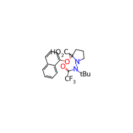 CC(C)(C)N(C(=O)C(F)(F)F)N1CCC[C@]1(Oc1cccc2ccccc12)C(=O)O